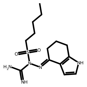 CCCCCS(=O)(=O)N(N=C1CCCc2[nH]ccc21)C(=N)N